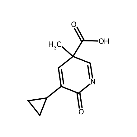 CC1(C(=O)O)C=NC(=O)C(C2CC2)=C1